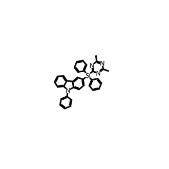 Cc1nc(C)nc([Si](c2ccccc2)(c2ccccc2)c2ccc3c(c2)c2ccccc2n3-c2ccccc2)n1